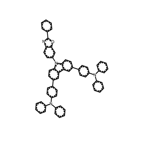 c1ccc(-c2nc3ccc(-n4c5ccc(-c6ccc(N(c7ccccc7)c7ccccc7)cc6)cc5c5cc(-c6ccc(N(c7ccccc7)c7ccccc7)cc6)ccc54)cc3o2)cc1